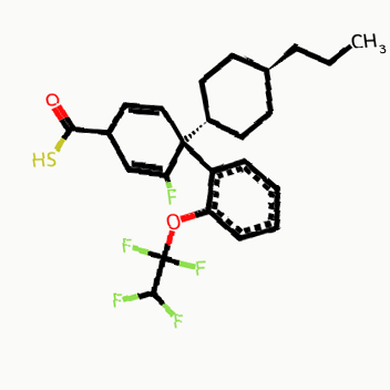 CCC[C@H]1CC[C@H](C2(c3ccccc3OC(F)(F)C(F)F)C=CC(C(=O)S)C=C2F)CC1